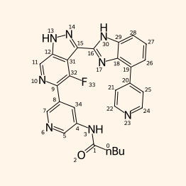 CCCCC(=O)Nc1cncc(-c2ncc3[nH]nc(-c4nc5c(-c6ccncc6)cccc5[nH]4)c3c2F)c1